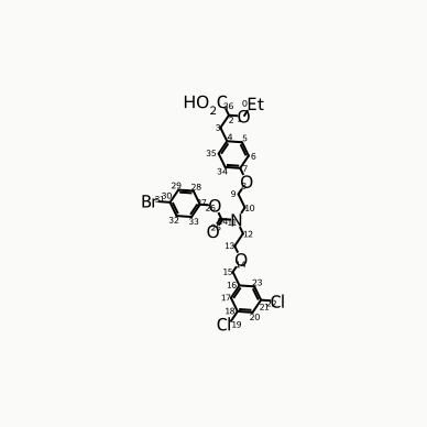 CCOC(Cc1ccc(OCCN(CCOCc2cc(Cl)cc(Cl)c2)C(=O)Oc2ccc(Br)cc2)cc1)C(=O)O